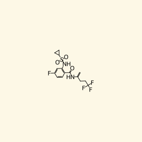 C=C(CCC(F)(F)F)NC(=O)c1ccc(F)cc1NS(=O)(=O)C1CC1